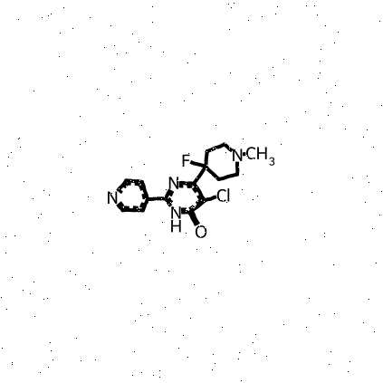 CN1CCC(F)(c2nc(-c3ccncc3)[nH]c(=O)c2Cl)CC1